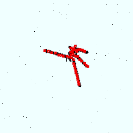 CCCCCCCCCCCCCC#CCCc1ccccc1C1=C(CCCC)C(CCCC)=C(c2ccc(CCCCCCCC)cc2)[N+]1=[N-].CCCCCCCCCCCCCCCCCCCCCCC[CH2][Ni][CH2]CCCCCCCCCCCCCCCCCCCCCCC